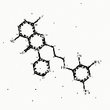 N#Cc1c(N)nc(N)nc1NCCCc1nc2c(F)ccc(C#N)c2c(=O)n1-c1cccnc1